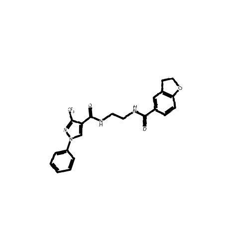 O=C(NCCNC(=O)c1cn(-c2ccccc2)nc1C(F)(F)F)c1ccc2c(c1)CCO2